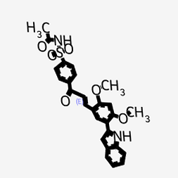 COc1cc(OC)c(-c2cc3ccccc3[nH]2)cc1/C=C/C(=O)c1ccc(S(=O)(=O)NC(C)=O)cc1